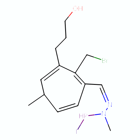 CC1C=CC(/C=N\N(C)PI)=C(CBr)C(CCCO)=C1